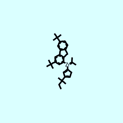 CCC(C)(C)C1=CC[C]([Zr](=[C](C)C)[c]2cc(C(C)(C)C)cc3c2Cc2ccc(C(C)(C)C)cc2-3)=C1